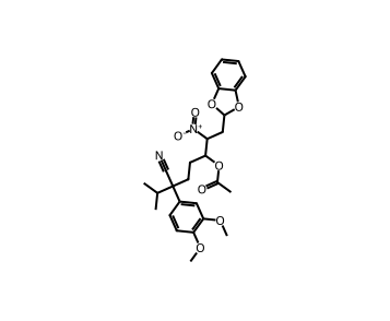 COc1ccc(C(C#N)(CCC(OC(C)=O)C(CC2Oc3ccccc3O2)[N+](=O)[O-])C(C)C)cc1OC